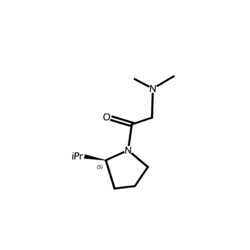 CC(C)[C@@H]1CCCN1C(=O)CN(C)C